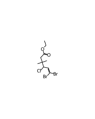 CCOC(=O)CC(C)(C)C(Cl)C=C(Br)Br